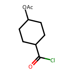 CC(=O)OC1CCC(C(=O)Cl)CC1